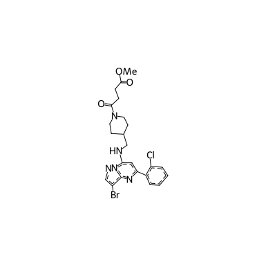 COC(=O)CCC(=O)N1CCC(CNc2cc(-c3ccccc3Cl)nc3c(Br)cnn23)CC1